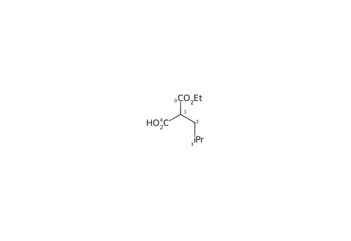 CCOC(=O)C(CC(C)C)C(=O)O